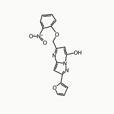 O=[N+]([O-])c1ccccc1OCc1cc(O)n2nc(-c3ccco3)cc2n1